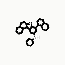 C1=CC(Nc2cc(-c3cccc4c3CCC=C4)c3oc4ccc5ccccc5c4c3c2)=CCC1